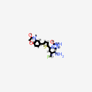 CN1C(=O)COc2ccc(-c3ccc(C(C/C(=C\F)CN)n4cn[nH]c4=O)s3)cc21